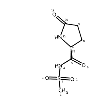 CS(=O)(=O)NC(=O)[C@@H]1CCC(=O)N1